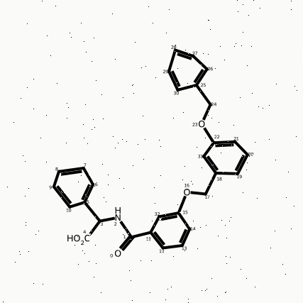 O=C(NC(C(=O)O)c1ccccc1)c1cccc(OCc2cccc(OCc3ccccc3)c2)c1